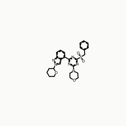 O=S(=O)(Cc1ccccc1)c1nc(-c2cccc3nn(C4CCCCO4)cc23)nc(N2CCOCC2)n1